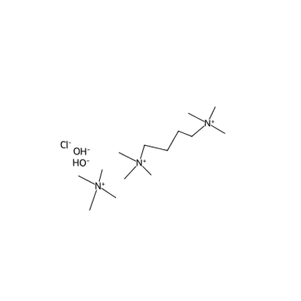 C[N+](C)(C)C.C[N+](C)(C)CCCC[N+](C)(C)C.[Cl-].[OH-].[OH-]